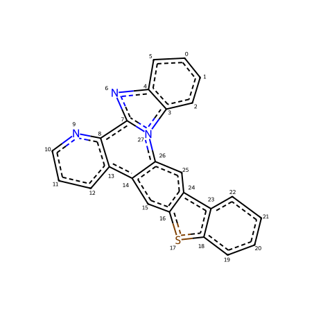 c1ccc2c(c1)nc1c3ncccc3c3cc4sc5ccccc5c4cc3n21